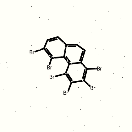 Brc1ccc2ccc3c(Br)c(Br)c(Br)c(Br)c3c2c1Br